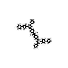 CCC(CC)(c1ccc(-c2cc(-c3ccccc3)nc(-c3ccc(-c4ccccc4)cc3)n2)cc1)c1ccc(-c2cc(-c3ccccc3)nc(-c3ccc(-c4ccccc4)cc3)n2)cc1